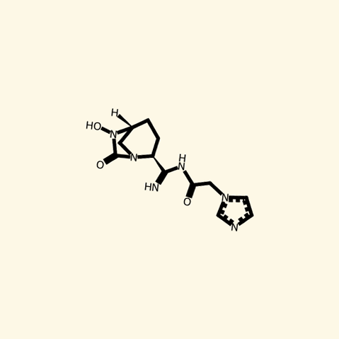 N=C(NC(=O)Cn1ccnc1)[C@@H]1CC[C@@H]2CN1C(=O)N2O